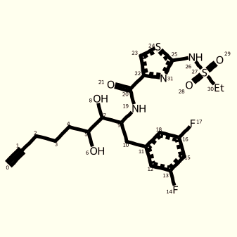 C#CCCCC(O)C(O)C(Cc1cc(F)cc(F)c1)NC(=O)c1csc(NS(=O)(=O)CC)n1